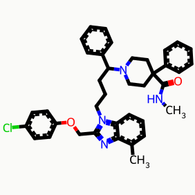 CNC(=O)C1(c2ccccc2)CCN(C(CCCn2c(COc3ccc(Cl)cc3)nc3c(C)cccc32)c2ccccc2)CC1